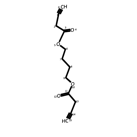 C#CCC(=O)OCCCCOC(=O)CC#C